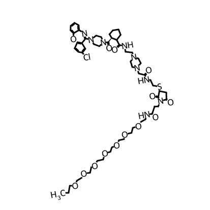 CCCOCCOCCOCCOCCOCCOCCOCCNC(=O)CCN1C(=O)CC(SCCNC(=O)CN2CCN(CCNC(=O)C3CCCC[C@@H]3C(=O)N3CCN(C4=Nc5ccccc5Oc5ccc(Cl)cc54)CC3)CC2)C1=O